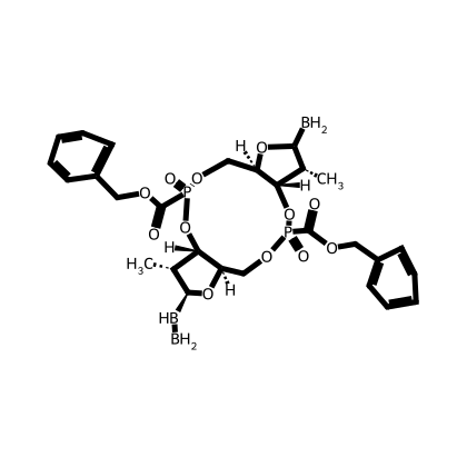 BB[C@@H]1O[C@@H]2COP(=O)(C(=O)OCc3ccccc3)O[C@@H]3[C@@H](COP(=O)(C(=O)OCc4ccccc4)O[C@H]2[C@H]1C)OC(B)[C@@H]3C